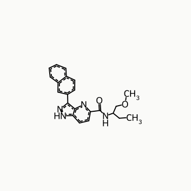 CCC(COC)NC(=O)c1ccc2[nH]nc(-c3ccc4ccccc4c3)c2n1